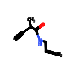 [C]#CC(C)C(=O)NCC=C